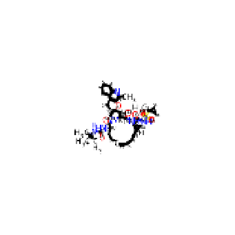 Cc1nc2ccccc2c2c1O[C@@]1(CC2)C[C@H]2C(=O)N[C@]3(C(=O)NS(=O)(=O)C4(C)CC4)C[C@H]3C=CCCCCC[C@H](NC(=O)NC(C)(C)C)C(=O)N2C1